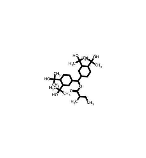 CCC(C)C(=O)OC(C1CCC(C(C)(C)O)C(C(C)(C)O)C1)C1CCC(C(C)(C)O)C(C(C)(C)O)C1